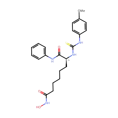 COc1ccc(NC(=S)N[C@@H](CCCCCC(=O)NO)C(=O)Nc2ccccc2)cc1